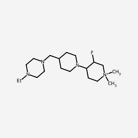 CCN1CCN(CC2CCN(C3CC[N+](C)(C)CC3F)CC2)CC1